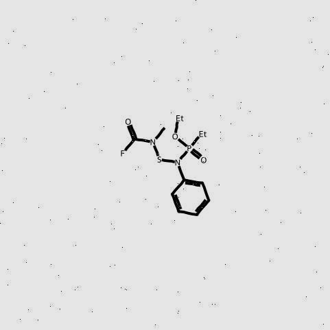 CCOP(=O)(CC)N(SN(C)C(=O)F)c1ccccc1